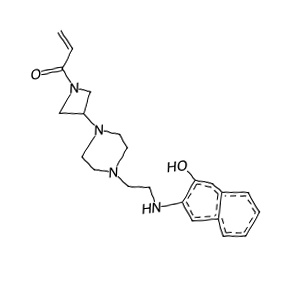 C=CC(=O)N1CC(N2CCN(CCNc3cc4ccccc4cc3O)CC2)C1